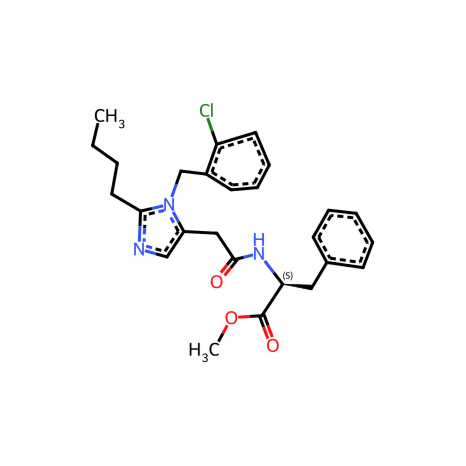 CCCCc1ncc(CC(=O)N[C@@H](Cc2ccccc2)C(=O)OC)n1Cc1ccccc1Cl